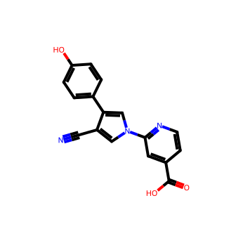 N#Cc1cn(-c2cc(C(=O)O)ccn2)cc1-c1ccc(O)cc1